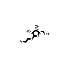 CC(C)CCOC1O[C@H](CO)[C@H](O)[C@H]1O